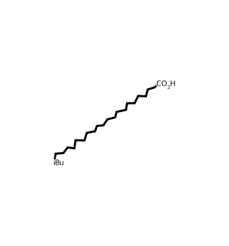 CCC(C)CCCCCCCCCCCCCCCCCCCCC(=O)O